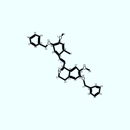 COc1cc(C)c(/C=C/C2=NCCc3cc(OCc4ccccc4)c(OC)cc32)cc1OCc1ccccc1